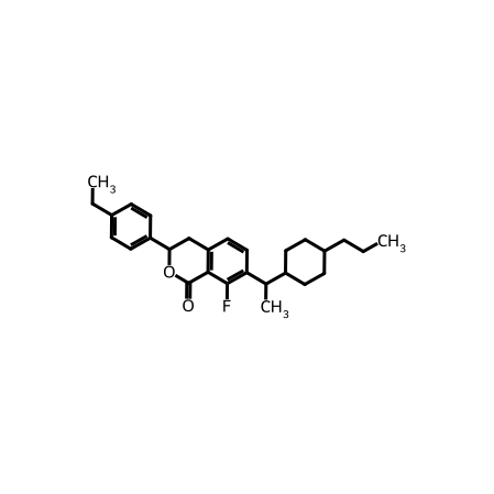 CCCC1CCC(C(C)c2ccc3c(c2F)C(=O)OC(c2ccc(CC)cc2)C3)CC1